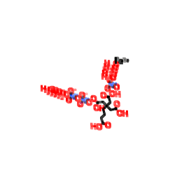 O.O.O.O.O.O.O.O.O.O.O=C(O)CCCC(CC(=O)O)(CC(=O)O)CC(=O)O.O=[N+]([O-])[O-].O=[N+]([O-])[O-].O=[N+]([O-])[O-].[Fe+3]